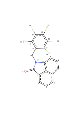 O=C1c2cccc3cccc(c23)N1Cc1c(F)c(F)c(F)c(F)c1F